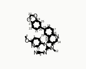 COc1ccc(-n2c(=NC#N)n(C)c3cnc4ccc(-c5ccc6c(c5)OCO6)cc4c32)cn1